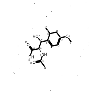 COC1=CC=C([C@H](O)[C@H](NC(C)=O)C(=O)O)C(C)C1